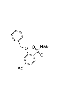 CNS(=O)(=O)c1ccc(C(C)=O)cc1OCc1ccccc1